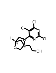 OCC[C@]12CO[C@H](CN1c1nc(Cl)nc(Cl)c1Cl)C2